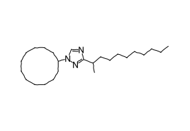 CCCCCCCCCC(C)c1ncn(C2CCCCCCCCCCC2)n1